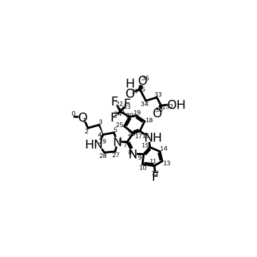 COCC[C@H]1CN(C2=Nc3cc(F)ccc3Nc3ccc(C(F)(F)F)cc32)CCN1.O=C(O)CCC(=O)O